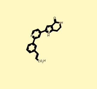 O=C(O)/C=C/c1cccc(-c2cc(-c3cc4c([nH]3)CCNC4=O)ccn2)c1